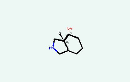 O[C@@H]1CCCC2CNC[C@@H]21